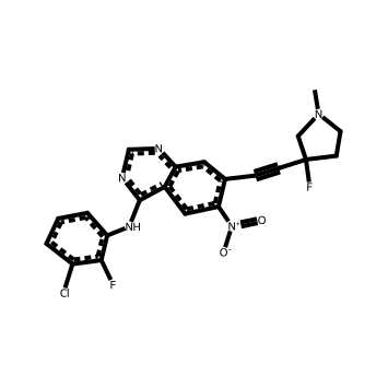 CN1CCC(F)(C#Cc2cc3ncnc(Nc4cccc(Cl)c4F)c3cc2[N+](=O)[O-])C1